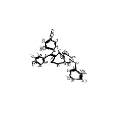 Fc1ccc(C(=C2CCC3CN(Cc4ccccc4)CCN3C2)c2ccc(F)cc2)cc1